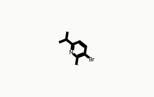 [CH2]c1nc(C(C)C)ccc1Br